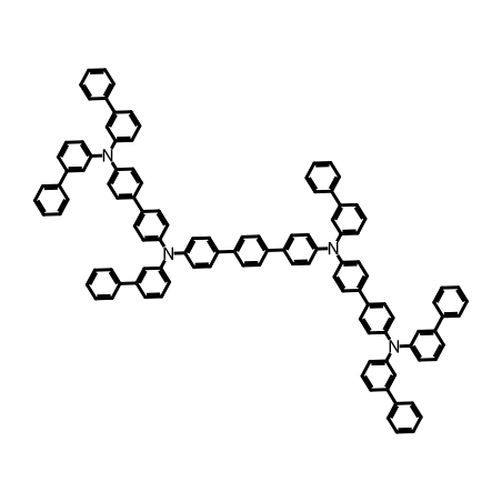 c1ccc(-c2cccc(N(c3ccc(-c4ccc(-c5ccc(N(c6ccc(-c7ccc(N(c8cccc(-c9ccccc9)c8)c8cccc(-c9ccccc9)c8)cc7)cc6)c6cccc(-c7ccccc7)c6)cc5)cc4)cc3)c3ccc(-c4ccc(N(c5cccc(-c6ccccc6)c5)c5cccc(-c6ccccc6)c5)cc4)cc3)c2)cc1